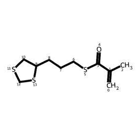 C=C(C)C(=O)SCCCC1CSCS1